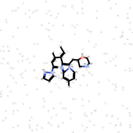 C=C(/C=C(C)\C(=C/C)c1nc2cc(C)ccn2c1CC1CNCCO1)n1cccn1